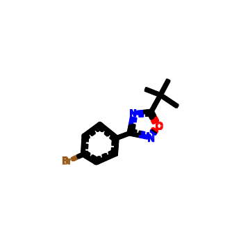 CC(C)(C)c1nc(-c2ccc(Br)cc2)no1